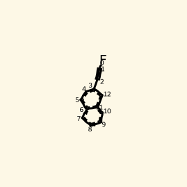 FC#Cc1ccc2c[c]ccc2c1